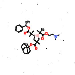 CCCC(OC(=O)C(C)(C)CCC(C)(CBC(C)(CC)C(=O)OCCN(C)C)C(=O)OC12CC3CC(CC(C3)C1)C2)c1ccccc1